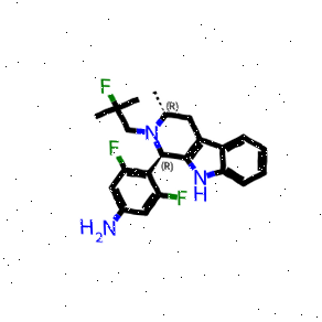 C[C@@H]1Cc2c([nH]c3ccccc23)[C@@H](c2c(F)cc(N)cc2F)N1CC(C)(C)F